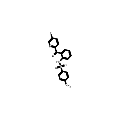 Nc1ccc(S(=O)(=O)Nc2ccccc2C(=O)c2ccc(F)cn2)cc1